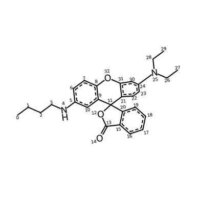 CCCCNc1ccc2c(c1)C1(OC(=O)c3ccccc31)c1ccc(N(CC)CC)cc1O2